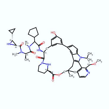 CCn1c(-c2cccnc2[C@H](C)OC)c2c3cc(ccc31)-c1cc(O)cc(c1)C[C@H](NC(=O)C(C1CCCC1)N(C)C(=O)[C@@H](C)N(C)C(=O)[C@@H]1N[C@@H]1C1CC1)C(=O)N1CCC[C@H](N1)C(=O)OCC(C)(C)C2